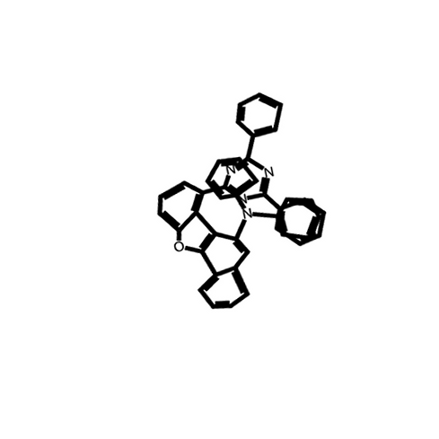 c1ccc(-c2nc(-c3ccccc3)nc(-c3cccc4oc5c6ccccc6cc(N(c6ccccc6)c6ccccc6)c5c34)n2)cc1